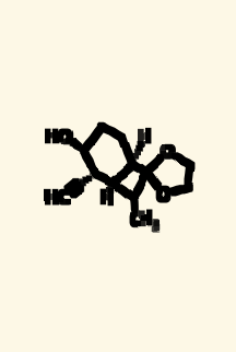 C#C[C@H]1[C@@H]2C(C)C3(OCCO3)[C@@H]2CC[C@@H]1O